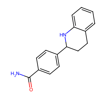 NC(=O)c1ccc(C2CCc3ccccc3N2)cc1